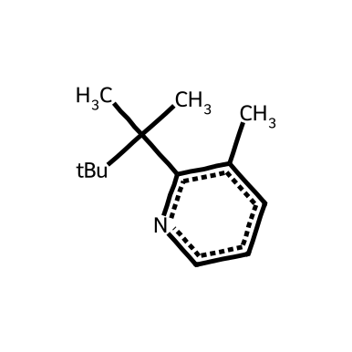 Cc1cccnc1C(C)(C)C(C)(C)C